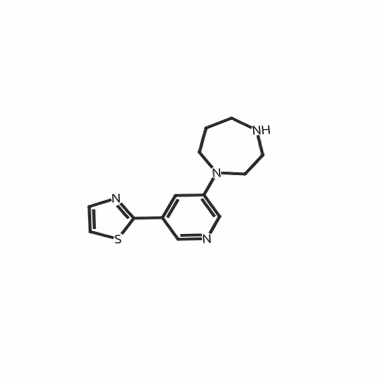 c1csc(-c2cncc(N3CCCNCC3)c2)n1